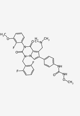 CONC(=O)Nc1ccc(-c2cn3c(c2CN(C)C)c(=O)n(-c2cccc(OC)c2F)c(=O)n3Cc2c(F)cccc2F)cc1